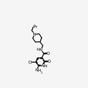 CC(C)CN1CCC(CNC(=O)c2cc(Cl)c(N)[nH]c2=O)CC1